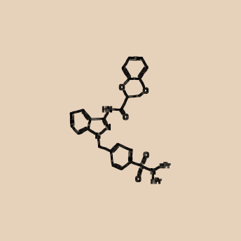 CCCN(CCC)S(=O)(=O)c1ccc(Cn2nc(NC(=O)C3COc4ccccc4O3)c3ccccc32)cc1